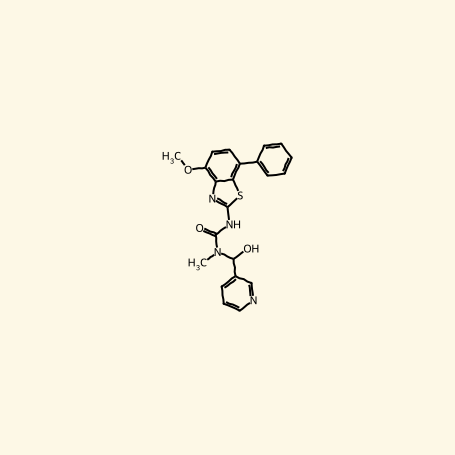 COc1ccc(-c2ccccc2)c2sc(NC(=O)N(C)C(O)c3cccnc3)nc12